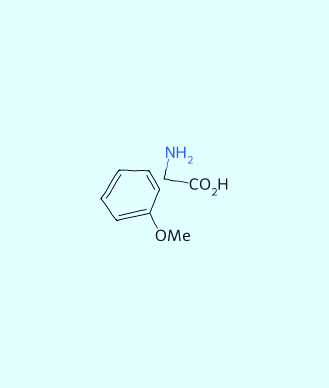 COc1ccccc1.NCC(=O)O